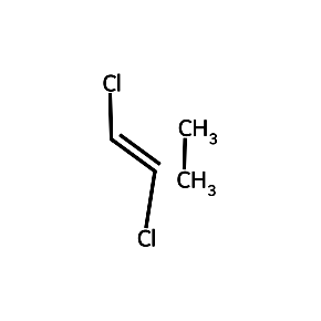 CC.ClC=CCl